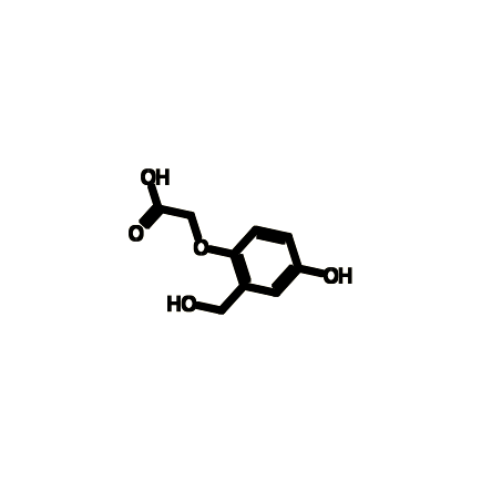 O=C(O)COc1ccc(O)cc1CO